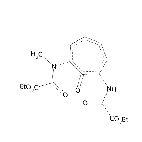 CCOC(=O)C(=O)Nc1ccccc(N(C)C(=O)C(=O)OCC)c1=O